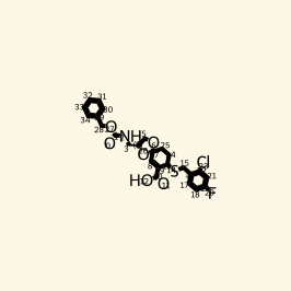 O=C(NC[C@H]1COC2(C=C(C(=O)O)C(SCc3ccc(F)cc3Cl)CC2)O1)OCc1ccccc1